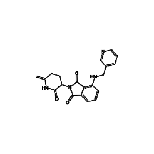 C=C1CCC(N2C(=O)c3cccc(NCc4cccnc4)c3C2=O)C(=O)N1